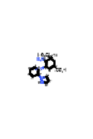 CC1(C(=O)O)CC(C(=O)O)=CC(N)=C1N.c1ccc(-n2cccn2)cc1